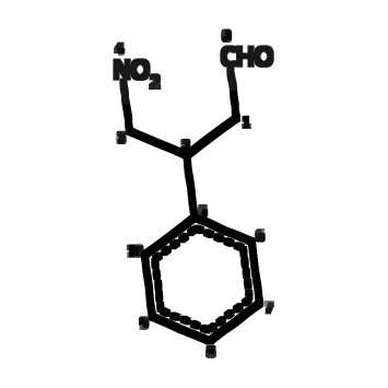 O=CCC(C[N+](=O)[O-])c1ccccc1